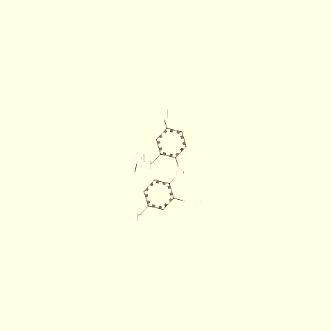 CO.Oc1cc(Cl)ccc1Oc1ccc(Cl)cc1Cl